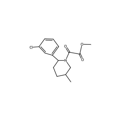 COC(=O)C(=O)N1CC(C)CCC1c1cccc(Cl)c1